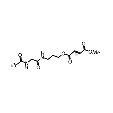 COC(=O)/C=C/C(=O)OCCCNC(=O)CNC(=O)C(C)C